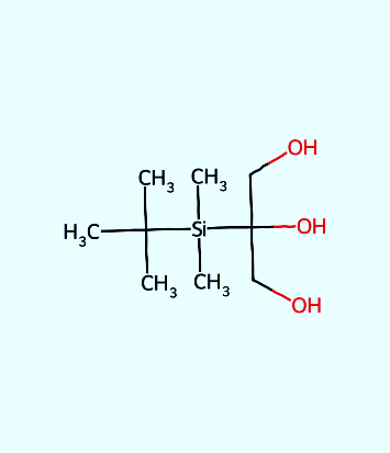 CC(C)(C)[Si](C)(C)C(O)(CO)CO